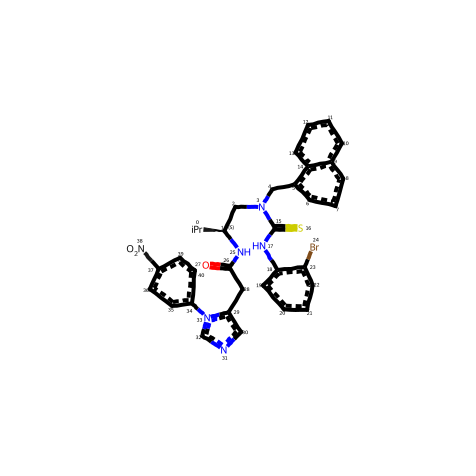 CC(C)[C@@H](CN(Cc1cccc2ccccc12)C(=S)Nc1ccccc1Br)NC(=O)Cc1cncn1-c1ccc([N+](=O)[O-])cc1